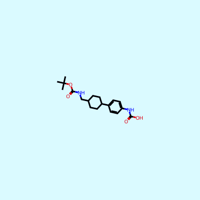 CC(C)(C)OC(=O)NCC1CCC(c2ccc(NC(=O)O)cc2)CC1